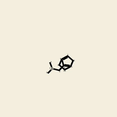 CB(C)CC1=C2CC=C1CC2